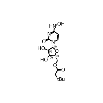 CC(C)(C)CC(=O)OC[C@H]1O[C@@H](n2ccc(NO)nc2=O)[C@H](O)[C@@H]1O